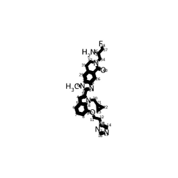 Cn1c(-c2cc3cccc(OCCn4cncn4)c3n2CC2CC2)nc2cc3c(cc21)CCN(C[C@H](N)CF)C3=O